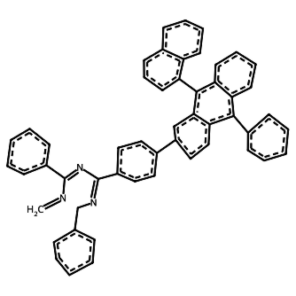 C=N/C(=N\C(=N/Cc1ccccc1)c1ccc(-c2ccc3c(-c4ccccc4)c4ccccc4c(-c4cccc5ccccc45)c3c2)cc1)c1ccccc1